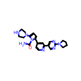 NC(=O)n1c(-c2ccnc(-c3cnc(N4CCCC4)nc3)c2)ccc1N1CCNCC1